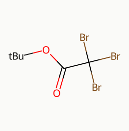 CC(C)(C)OC(=O)C(Br)(Br)Br